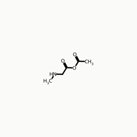 CNCC(=O)OC(C)=O